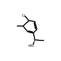 CCCC[C@H](C)C1=CC(C)C(Cl)C=C1